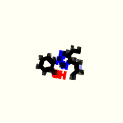 C=Cc1nn(-c2ccccc2O)nc1/C=C\C